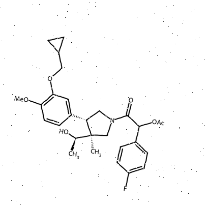 COc1ccc([C@@H]2CN(C(=O)C(OC(C)=O)c3ccc(F)cc3)C[C@@]2(C)[C@@H](C)O)cc1OCC1CC1